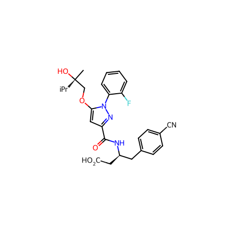 CC(C)[C@](C)(O)COc1cc(C(=O)N[C@H](CC(=O)O)Cc2ccc(C#N)cc2)nn1-c1ccccc1F